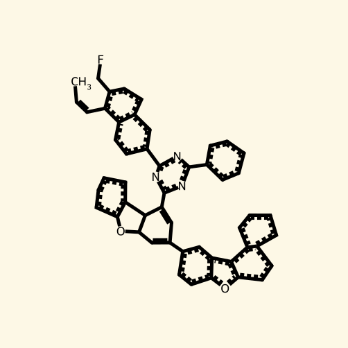 C/C=C\c1c(CF)ccc2cc(-c3nc(C4=CC(c5ccc6oc7ccc8ccccc8c7c6c5)=CC5Oc6ccccc6C45)nc(-c4ccccc4)n3)ccc12